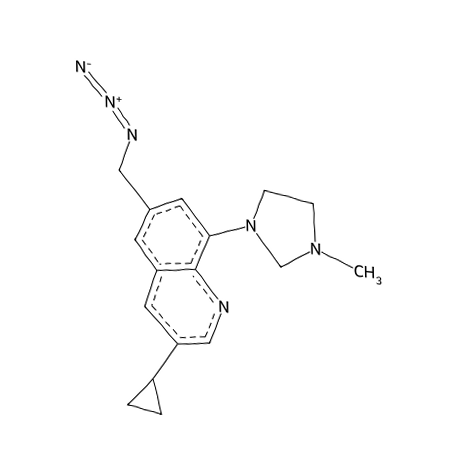 CN1CCN(c2cc(CN=[N+]=[N-])cc3cc(C4CC4)cnc23)C1